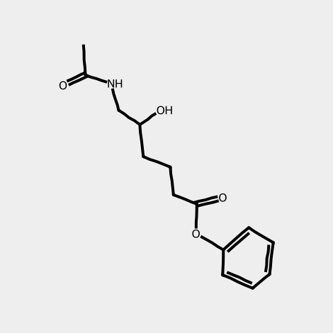 CC(=O)NCC(O)CCCC(=O)Oc1ccccc1